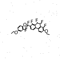 CCOc1ccc(OC(F)(F)c2ccc3c(c2F)C(F)C(F)c2c-3ccc(OCC)c2F)c(F)c1